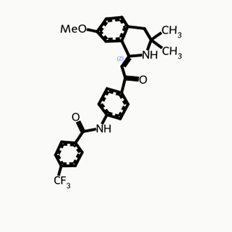 COc1ccc2c(c1)/C(=C/C(=O)c1ccc(NC(=O)c3ccc(C(F)(F)F)cc3)cc1)NC(C)(C)C2